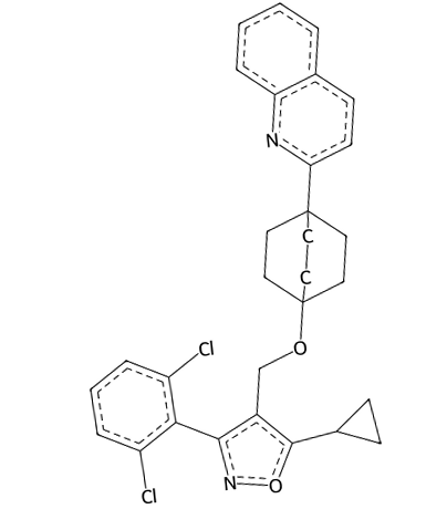 Clc1cccc(Cl)c1-c1noc(C2CC2)c1COC12CCC(c3ccc4ccccc4n3)(CC1)CC2